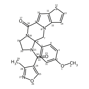 COc1ccc(C23Cn4c(cc5sccc54)C(=O)N2CCN3C(=O)c2conc2C)cc1